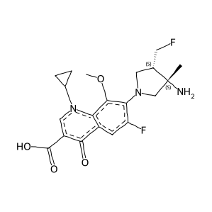 COc1c(N2C[C@H](CF)[C@](C)(N)C2)c(F)cc2c(=O)c(C(=O)O)cn(C3CC3)c12